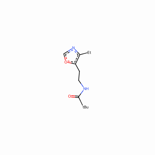 CCc1ncoc1CCNC(=O)C(C)(C)C